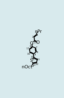 CCCC=CC(=O)Oc1ccc(-c2ccc(CCCCCCCC)s2)cc1